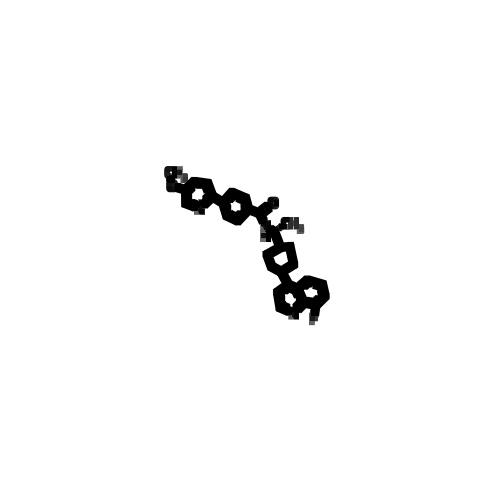 COc1ccc(-c2ccc(C(=O)N[C@H](C)C3CCC(c4ccnc5c(F)cccc45)CC3)cc2)nc1